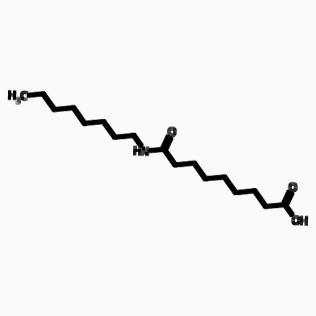 CCCCCCCCNC(=O)CCCCCCCC(=O)O